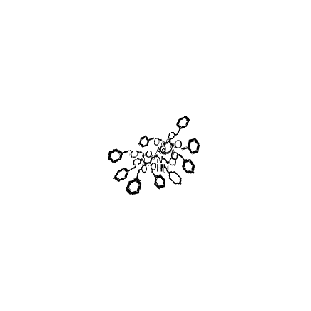 CC(=O)C(NC(C(=O)NC1CCCCC1)[C@@H]1O[C@H](COCc2ccccc2)[C@@H](OCc2ccccc2)[C@H](OCc2ccccc2)[C@H]1OCc1ccccc1)[C@@H]1O[C@H](COCc2ccccc2)[C@@H](OCc2ccccc2)[C@H](OCc2ccccc2)[C@H]1OCc1ccccc1